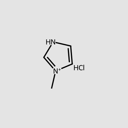 C[n+]1cc[nH]c1.Cl